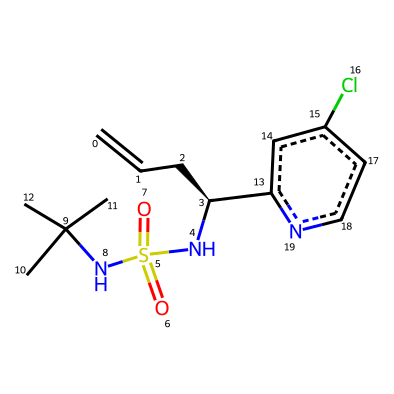 C=CC[C@H](NS(=O)(=O)NC(C)(C)C)c1cc(Cl)ccn1